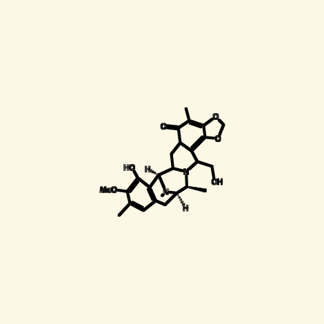 COc1c(C)cc2c(c1O)[C@H]1C3CC4C(=O)C(C)=C5OCOC5=C4C(CO)N3[C@@H](C)[C@@H](C2)N1C